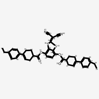 CCc1ccc(C2=CCC(C(=O)Oc3ccc(OC(=O)C4CC=C(c5ccc(CC)cc5)CC4)c4c3SC(=C(C#N)C#N)S4)CC2)cc1